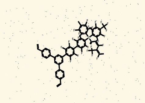 C=Cc1ccc(-c2cc(-c3ccc(C=C)cc3)cc(-c3c(F)c(F)c(-c4c(F)c(F)c(S(C(=C)/C(F)=C(F)\C(=C(/C)F)C(F)(F)F)(c5c(F)c(F)c(C)c(F)c5F)c5c(F)c(F)c(C(F)(F)F)c(F)c5F)c(F)c4F)c(F)c3F)c2)cc1